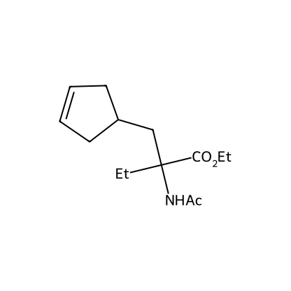 CCOC(=O)C(CC)(CC1CC=CC1)NC(C)=O